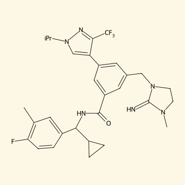 Cc1cc(C(NC(=O)c2cc(CN3CCN(C)C3=N)cc(-c3cn(C(C)C)nc3C(F)(F)F)c2)C2CC2)ccc1F